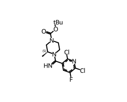 C[C@H]1CN(C(=O)OC(C)(C)C)CCN1C(=N)c1cc(F)c(Cl)nc1Cl